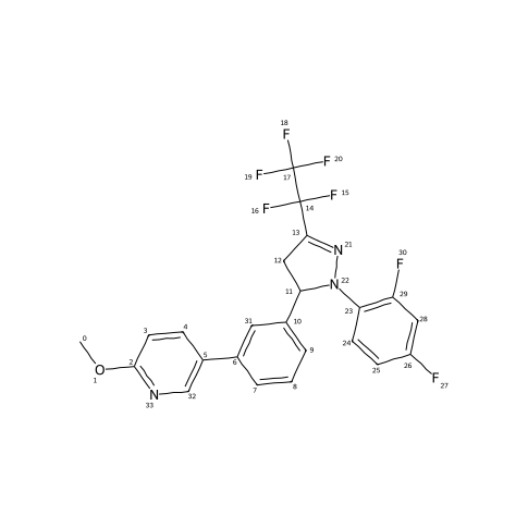 COc1ccc(-c2cccc(C3CC(C(F)(F)C(F)(F)F)=NN3c3ccc(F)cc3F)c2)cn1